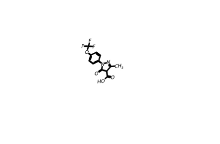 CC1=NN(c2ccc(OC(F)(F)F)cc2)C(=O)C1C(=O)O